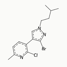 Cc1ccc(-c2cn(CCC(C)C)nc2Br)c(Cl)n1